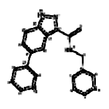 C=C(NCc1cccnc1)c1n[nH]c2ccc(-c3cccnc3)cc12